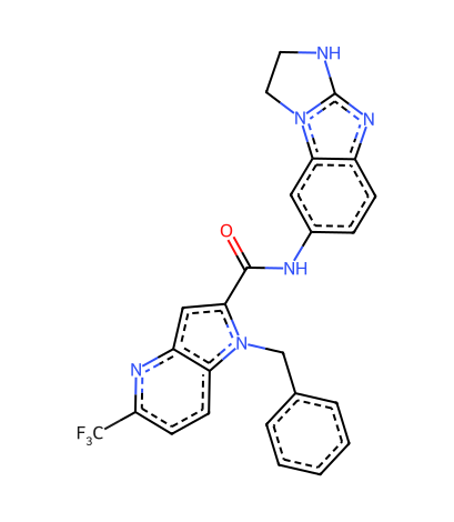 O=C(Nc1ccc2nc3n(c2c1)CCN3)c1cc2nc(C(F)(F)F)ccc2n1Cc1ccccc1